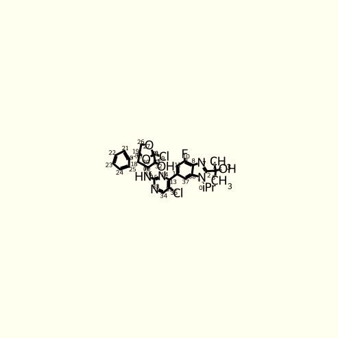 CC(C)n1c(C(C)(C)O)nc2c(F)cc(-c3nc(N[C@@H]4C[C@@]5(c6ccccc6)CO[C@@](Cl)(O5)[C@H]4O)ncc3Cl)cc21